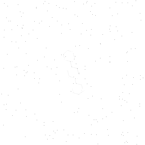 C1COC(N2CCC(C3CSCCS3)CC2)CO1